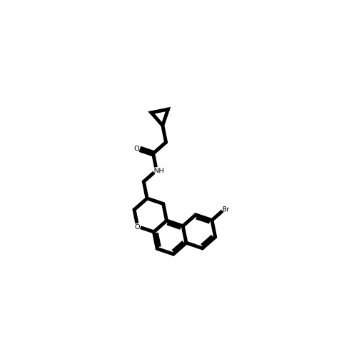 O=C(CC1[CH]C1)NCC1COc2ccc3ccc(Br)cc3c2C1